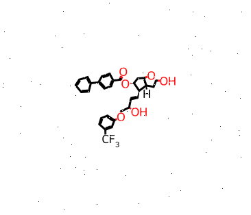 O=C(O[C@@H]1CC2OC(O)C[C@@H]2[C@H]1/C=C/[C@@H](O)COc1cccc(C(F)(F)F)c1)c1ccc(-c2ccccc2)cc1